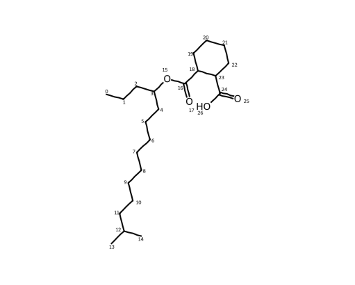 CCCC(CCCCCCCCC(C)C)OC(=O)C1CCCCC1C(=O)O